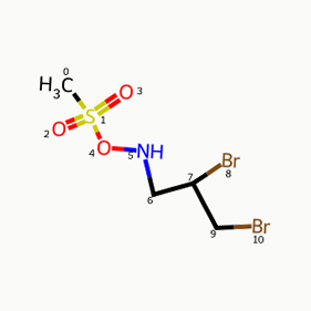 CS(=O)(=O)ONCC(Br)CBr